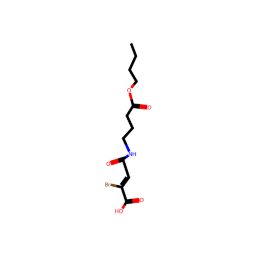 CCCCOC(=O)CCCNC(=O)/C=C(\Br)C(=O)O